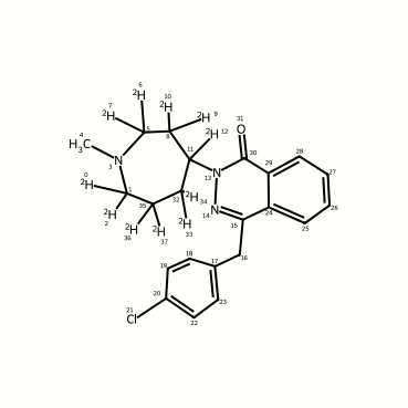 [2H]C1([2H])N(C)C([2H])([2H])C([2H])([2H])C([2H])(n2nc(Cc3ccc(Cl)cc3)c3ccccc3c2=O)C([2H])([2H])C1([2H])[2H]